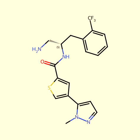 Cn1nccc1-c1csc(C(=O)N[C@H](CN)Cc2ccccc2C(F)(F)F)c1